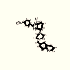 CC(C)(C)c1ccc(-c2nc3c(N4CCN(Cc5ccc6ncccc6c5)CC4)cccc3[nH]2)cc1